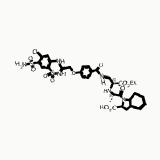 CCOC(=O)[C@H](CNC(=O)c1ccc(OCC2Nc3cc(Cl)c(S(N)(=O)=O)cc3S(=O)(=O)N2)cc1)N[C@@H](C)C(=O)N1C(C(=O)O)CC2CCCCC21